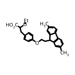 CCOC(Cc1ccc(OCCC2c3cc(C)ccc3-c3ccc(C)cc32)cc1)C(=O)O